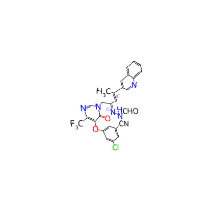 C/C(=C\C(Cn1cnc(C(F)(F)F)c(Oc2cc(Cl)cc(C#N)c2)c1=O)=N/NC=O)c1cnc2ccccc2c1